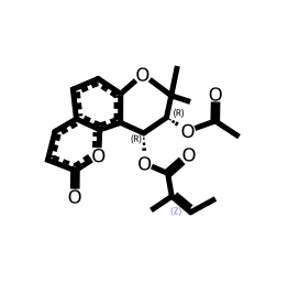 C/C=C(/C)C(=O)O[C@@H]1c2c(ccc3ccc(=O)oc23)OC(C)(C)[C@@H]1OC(C)=O